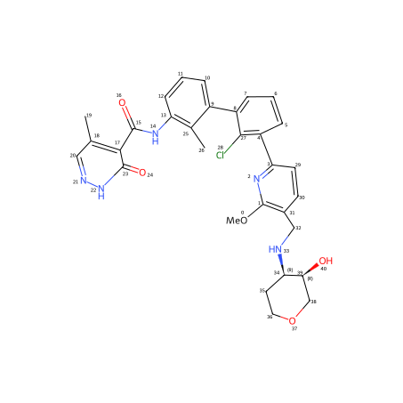 COc1nc(-c2cccc(-c3cccc(NC(=O)c4c(C)cn[nH]c4=O)c3C)c2Cl)ccc1CN[C@@H]1CCOC[C@@H]1O